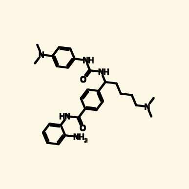 CN(C)CCCCC(NC(=O)Nc1ccc(N(C)C)cc1)c1ccc(C(=O)Nc2ccccc2N)cc1